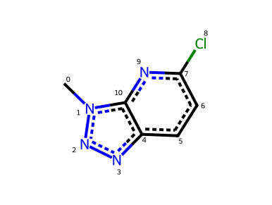 Cn1nnc2ccc(Cl)nc21